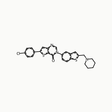 O=c1c2sc(-c3ccc(Cl)cc3)cc2ncn1-c1ccc2sc(CN3CCCCC3)cc2c1